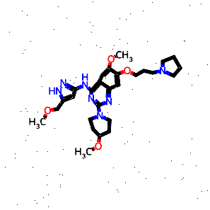 COCc1cc(Nc2nc(N3CCC(OC)CC3)nc3cc(OCCCN4CCCC4)c(OC)cc23)n[nH]1